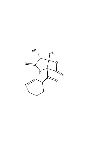 CCC[C@H]1C(=O)N[C@@]2(C(=O)[C@@H]3C=CCCC3)C(=O)O[C@@]12C